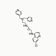 Clc1ccc2c(NCOCNCCN(Cc3ccncc3)Cc3ccncc3)ccnc2c1